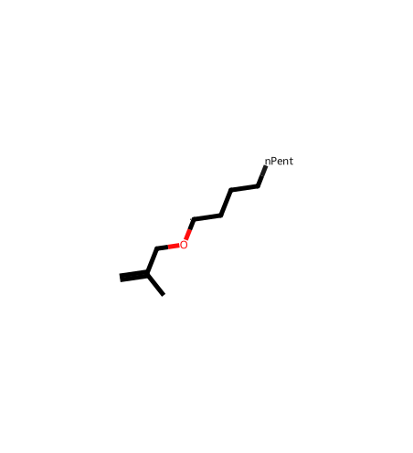 C=C(C)CO[CH]CCCCCCCC